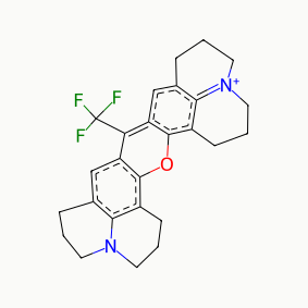 FC(F)(F)C1=c2cc3c4c(c2Oc2c1cc1c5c2CCCN5CCC1)CCC[N+]=4CCC3